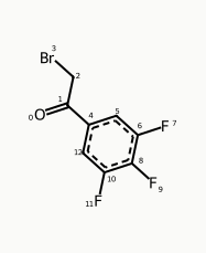 O=C(CBr)c1cc(F)c(F)c(F)c1